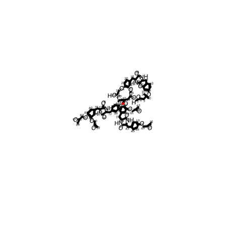 CC(C)(CC1CO1)Oc1ccc(CC2NC(=O)C(Cc3ccc4c(c3)OCC(O)CC(C)(Oc3ccc(CC5NC(=O)C(Cc6ccc(OCC7CO7)cc6)NC5=O)cc3OCC3CO3)C(C)(Oc3ccc(CC5NC(=O)C(Cc6ccc(OCC7CO7)c(OCC7CO7)c6)NC5=O)cc3)CC(O)CO4)NC2=O)cc1